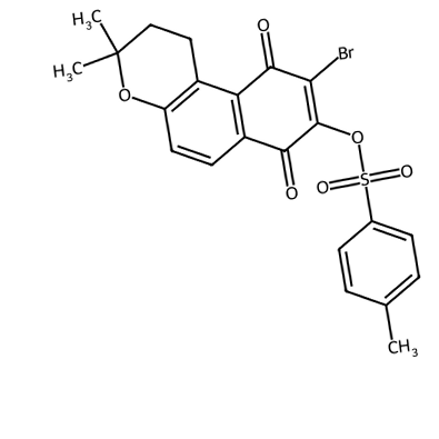 Cc1ccc(S(=O)(=O)OC2=C(Br)C(=O)c3c(ccc4c3CCC(C)(C)O4)C2=O)cc1